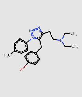 CCN(CC)CCc1nnn(-c2ccc(C)cc2)c1Cc1ccc(Br)cc1